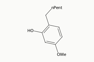 CCCCCCc1ccc(OC)cc1O